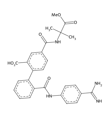 COC(=O)C(C)(C)NC(=O)c1ccc(-c2ccccc2C(=O)Nc2ccc(C(=N)N)cc2)c(C(=O)O)c1